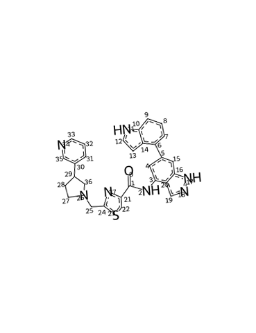 O=C(Nc1cc(-c2cccc3[nH]ccc23)cc2[nH]ncc12)c1csc(CN2CCC(c3cccnc3)C2)n1